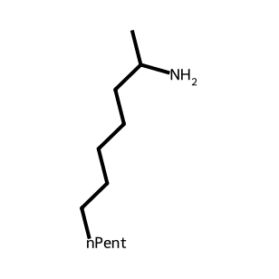 CCCCCCCCCCC(C)N